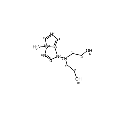 N[N+]12C=NC=C1N(N(CCO)CCO)C=N2